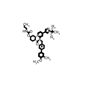 CCCNC(=O)O[C@H]1CC[C@H](C(=O)N(CC23CCC(c4ccc(OC)c(C)c4)(CC2)CC3)c2cc(-c3cnn(C(C)(C)C)c3)ccn2)CC1